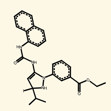 CCOC(=O)c1cccc(N2NC(I)(C(C)C)C=C2NC(=O)Nc2cccc3ccccc23)c1